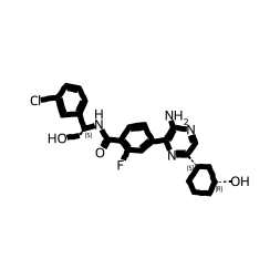 Nc1ncc([C@H]2CCC[C@@H](O)C2)nc1-c1ccc(C(=O)N[C@H](CO)c2cccc(Cl)c2)c(F)c1